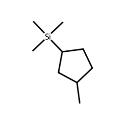 CC1CCC([Si](C)(C)C)C1